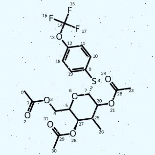 CC(=O)OCC1O[C@H](Sc2ccc(OC(F)(F)F)cc2)C(OC(C)=O)C(C)[C@H]1OC(C)=O